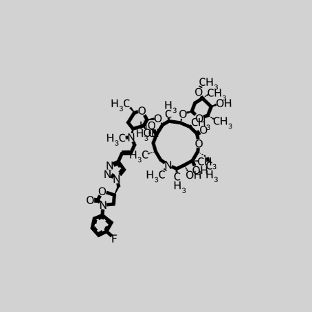 CC[C@H]1OC(=O)[C@H](C)[C@@H](O[C@H]2C[C@@](C)(OC)[C@@H](O)[C@H](C)O2)[C@H](C)[C@@H](O[C@@H]2O[C@H](C)C[C@H](N(C)C/C=C/c3cn(C[C@H]4CN(c5cccc(F)c5)C(=O)O4)nn3)[C@H]2O)[C@](C)(O)C[C@@H](C)CN(C)[C@H](C)[C@@H](O)[C@]1(C)O